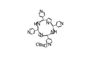 C1=Cc2nc1c(-c1ccncc1)c1ccc([nH]1)c(-c1ccncc1)c1nc(c(-c3ccncc3)c3ccc([nH]3)c2-c2ccncc2)C=C1.[Cl][Ru][Cl]